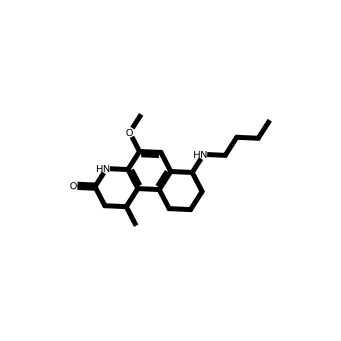 CCCCNC1CCCc2c1cc(OC)c1c2C(C)CC(=O)N1